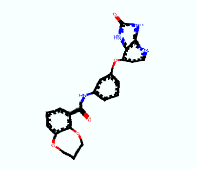 O=C(Nc1cccc(Oc2ccnc3[nH]c(=O)[nH]c23)c1)c1cccc2c1OCCCO2